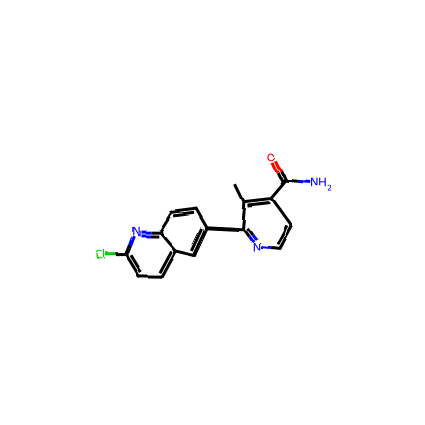 Cc1c(C(N)=O)ccnc1-c1ccc2nc(Cl)ccc2c1